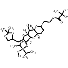 CO[Si](O[C@@H]1[C@@H]2O[C@H]3CC[C@H](CCOC(=O)C(C)(C)C)O[C@H]3C(O)[C@H]2O[C@@H]1CC1COC(C)(C)O1)(C(C)C)C(C)C